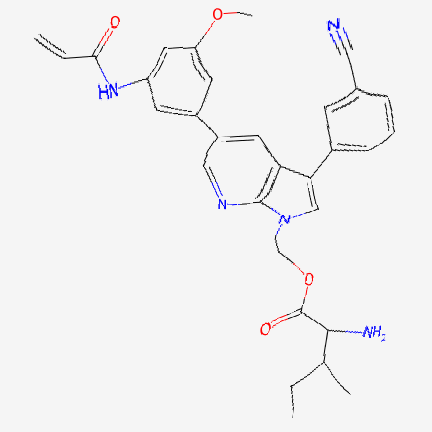 C=CC(=O)Nc1cc(OC)cc(-c2cnc3c(c2)c(-c2cccc(C#N)c2)cn3COC(=O)C(N)C(C)CC)c1